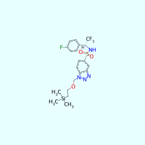 C[Si](C)(C)CCOCn1nnc2cc(S(=O)(=O)N[C@H](c3ccc(F)cc3)C(F)(F)F)ccc21